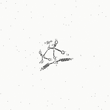 N#[C][Cu][C]#N.O=P([O-])([O-])OP(=O)([O-])[O-].[Sn+4]